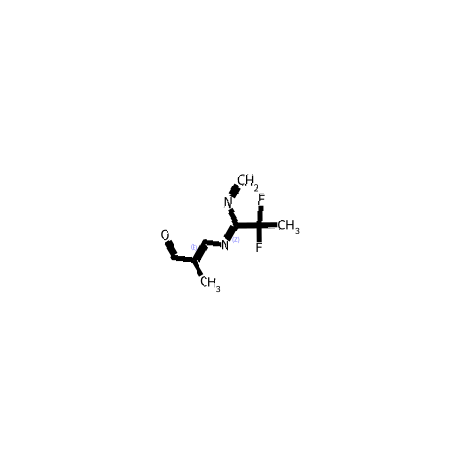 C=N/C(=N\C=C(/C)C=O)C(C)(F)F